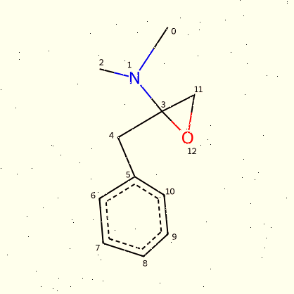 CN(C)C1(Cc2ccccc2)CO1